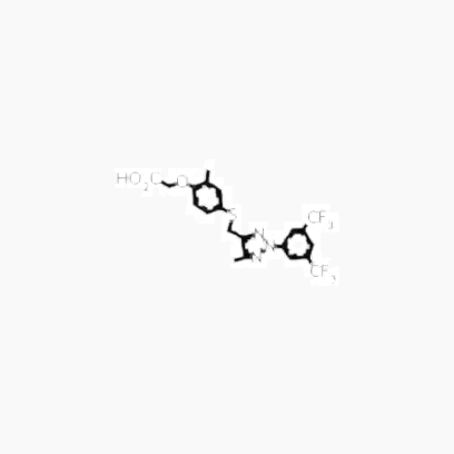 Cc1cc(SCc2nn(-c3cc(C(F)(F)F)cc(C(F)(F)F)c3)nc2C)ccc1OCC(=O)O